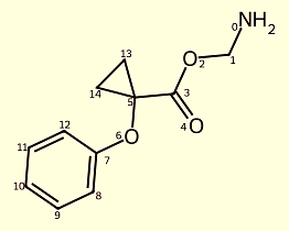 NCOC(=O)C1(Oc2ccccc2)CC1